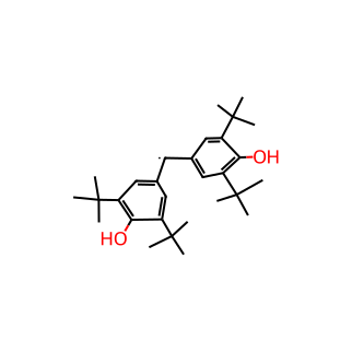 CC(C)(C)c1cc([CH]c2cc(C(C)(C)C)c(O)c(C(C)(C)C)c2)cc(C(C)(C)C)c1O